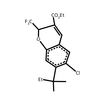 CCOC(=O)C1=Cc2cc(Cl)c(C(C)(C)CC)cc2OC1C(F)(F)F